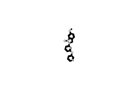 COc1ccc2c(c1)[S+]([O-])N(c1cccc(Oc3cccnc3)n1)C2